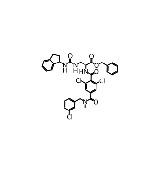 CN(Cc1cccc(Cl)c1)C(=O)c1cc(Cl)c(C(=O)N[C@@H](CNC(=O)N[C@@H]2CCc3ccccc32)C(=O)OCc2ccccc2)c(Cl)c1